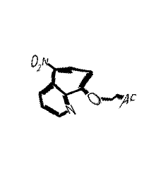 CC(=O)COc1ccc([N+](=O)[O-])c2cccnc12